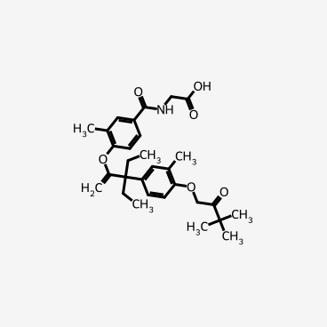 C=C(Oc1ccc(C(=O)NCC(=O)O)cc1C)C(CC)(CC)c1ccc(OCC(=O)C(C)(C)C)c(C)c1